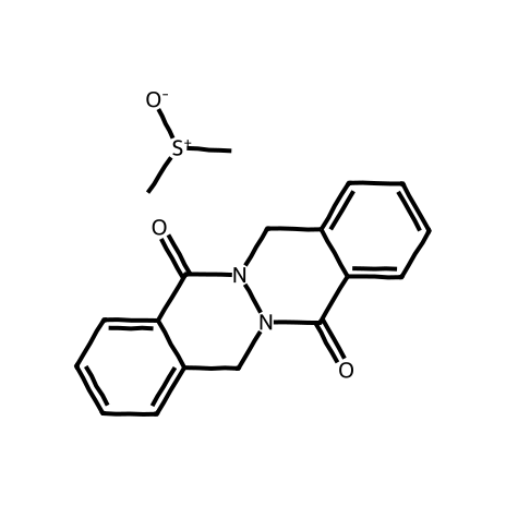 C[S+](C)[O-].O=C1c2ccccc2CN2C(=O)c3ccccc3CN12